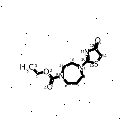 CCOC(=O)N1CCCN(C2=NC(=O)CS2)CC1